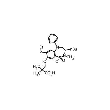 CCCCC1CN(c2ccccc2)c2cc(SCC)c(OCC(C)(C)C(=O)O)cc2S(=O)(=O)N1C